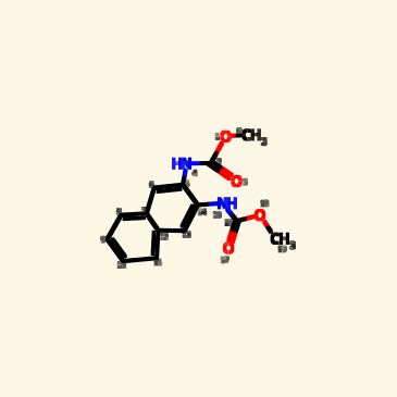 COC(=O)Nc1cc2ccccc2cc1NC(=O)OC